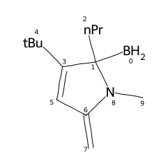 BC1(CCC)C(C(C)(C)C)=CC(=C)N1C